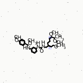 COC/C=C(\CC/C=C(/OC)C(C)OC)CNC(=O)Nc1cccc(NC(OC)c2ccc(OC)cc2)c1